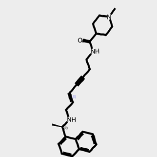 C[C@@H](NC/C=C/C#CCCNC(=O)C1CCN(C)CC1)c1cccc2ccccc12